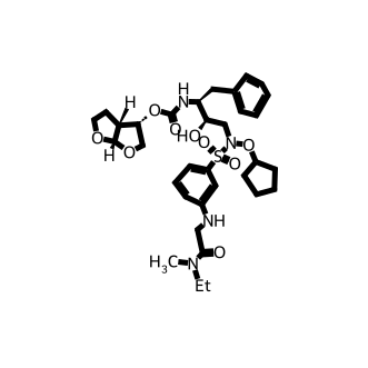 CCN(C)C(=O)CNc1cccc(S(=O)(=O)N(C[C@@H](O)[C@H](Cc2ccccc2)NC(=O)O[C@@H]2CO[C@@H]3OCC[C@@H]32)OC2CCCC2)c1